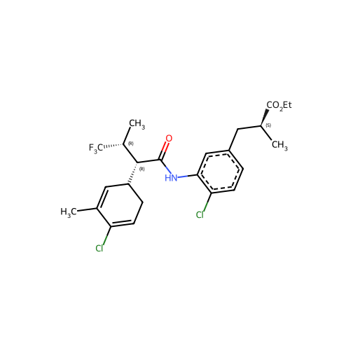 CCOC(=O)[C@@H](C)Cc1ccc(Cl)c(NC(=O)[C@H](C2C=C(C)C(Cl)=CC2)[C@@H](C)C(F)(F)F)c1